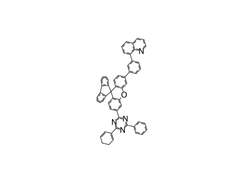 C1=CC(c2nc(-c3ccccc3)nc(-c3ccc4c(c3)Oc3cc(-c5cccc(-c6cccc7cccnc67)c5)ccc3C43c4ccccc4-c4ccccc43)n2)=CCC1